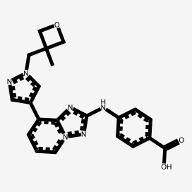 CC1(Cn2cc(-c3cccn4nc(Nc5ccc(C(=O)O)cc5)nc34)cn2)COC1